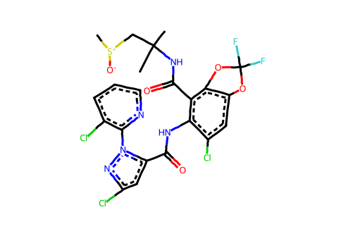 C[S+]([O-])CC(C)(C)NC(=O)c1c(NC(=O)c2cc(Cl)nn2-c2ncccc2Cl)c(Cl)cc2c1OC(F)(F)O2